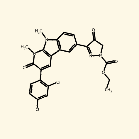 CCOC(=O)N1CC(=O)C(c2ccc3c(c2)c2cc(-c4ccc(Cl)cc4Cl)c(=O)n(C)c2n3C)=N1